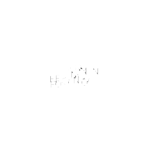 O=C(c1c(-c2ccco2)nc(-c2ccc(OC(F)(F)F)cc2)n1C1CC1)N1CCC(N2CCCC2)CC1